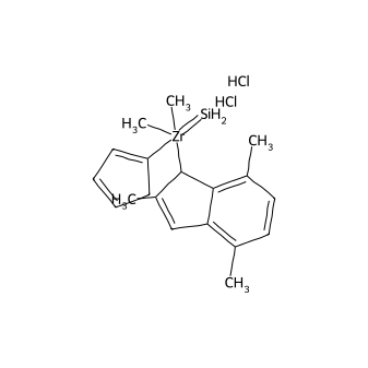 CC1=Cc2c(C)ccc(C)c2[CH]1[Zr]([CH3])([CH3])(=[SiH2])[C]1=CC=CC1.Cl.Cl